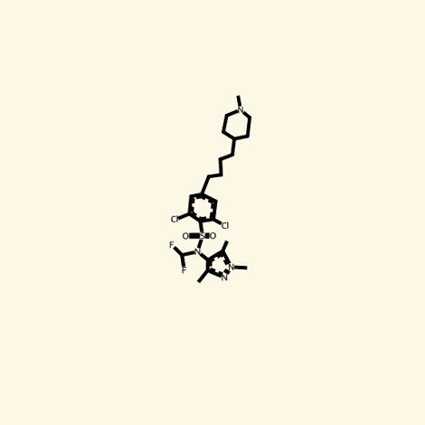 Cc1nn(C)c(C)c1N(C(F)F)S(=O)(=O)c1c(Cl)cc(CCCCC2CCN(C)CC2)cc1Cl